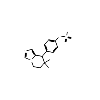 CC1(C)CCn2cncc2C1c1ccc(OS(=O)(=O)C(F)(F)F)cc1